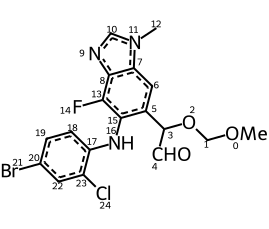 COCOC(C=O)c1cc2c(ncn2C)c(F)c1Nc1ccc(Br)cc1Cl